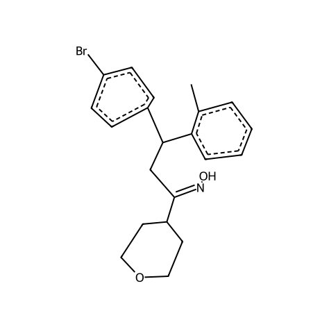 Cc1ccccc1C(C/C(=N\O)C1CCOCC1)c1ccc(Br)cc1